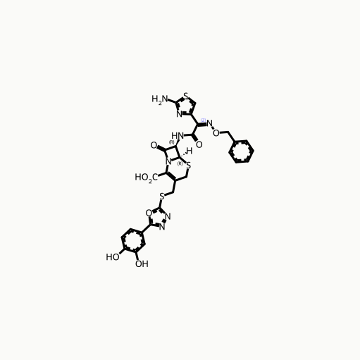 Nc1nc(/C(=N/OCc2ccccc2)C(=O)N[C@@H]2C(=O)N3C(C(=O)O)=C(CSc4nnc(-c5ccc(O)c(O)c5)o4)CS[C@H]23)cs1